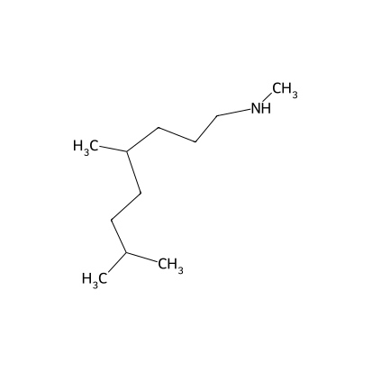 CNCCCC(C)CCC(C)C